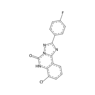 O=c1[nH]c2c(Cl)cccc2c2nc(-c3ccc(F)cc3)nn12